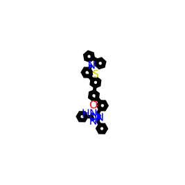 c1ccc(C2=NC(c3cccc4c3oc3ccc(-c5ccc6sc7c(-n8c9ccccc9c9ccccc98)cccc7c6c5)cc34)NC(c3ccccc3)=N2)cc1